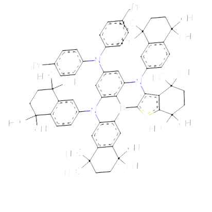 CC(C)c1ccc(N(c2ccc(C(C)C)cc2)c2cc3c4c(c2)N(c2ccc5c(c2)C(C)(C)CCC5(C)C)c2c(sc5c2C(C)(C)CCC5(C)C)B4c2cc4c(cc2N3c2ccc3c(c2)C(C)(C)CCC3(C)C)C(C)(C)CCC4(C)C)cc1